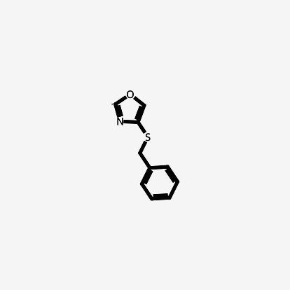 [c]1nc(SCc2ccccc2)co1